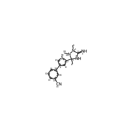 CN1C(=N)NC(C)(c2cc(-c3cccc(C#N)c3)cs2)N1C